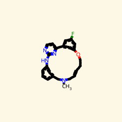 CN1C/C=C/CCOc2cc(F)cc(c2)-c2ccnc(n2)Nc2cccc(c2)C1